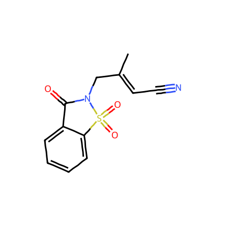 CC(=CC#N)CN1C(=O)c2ccccc2S1(=O)=O